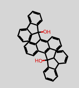 OC1(c2c3ccccc3c(C3(O)c4ccccc4C4C=CC=CC43)c3ccccc23)c2ccccc2-c2ccccc21